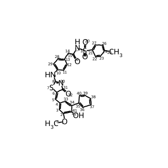 COc1cc(C=C2SC(Nc3ccc(CC(=O)NS(=O)(=O)c4ccc(C)cc4)cc3)=NC2=O)cc(-c2ccccc2)c1O